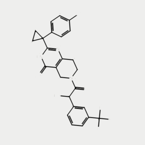 O=C(C(O)c1cccc(C(F)(F)F)c1)N1CCc2nc(C3(c4ccc(F)cc4)CC3)[nH]c(=O)c2C1